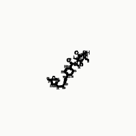 CNC(=O)[C@@](C)(C(=O)NO)N(C)C(=O)c1ccc(C#C/C=C\c2cc(C)on2)cc1